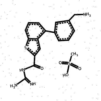 CS(=O)(=O)O.N=C(N)NC(=O)c1cc2c(-c3cccc(CN)c3)cccc2s1